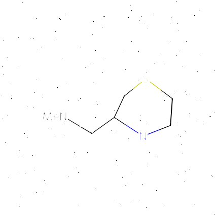 CNCC1CSCC[N]1